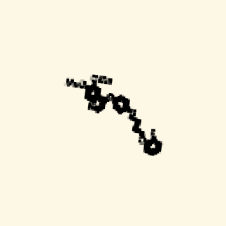 COc1cc2nccc(Oc3ccc(SCCCCOc4ccccc4F)cc3)c2cc1OC